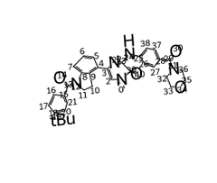 Cn1cc(-c2cccc3c2CCN3C(=O)c2ccc(C(C)(C)C)cc2)nc(Nc2ccc(C(=O)N3CCOCC3)cc2)c1=O